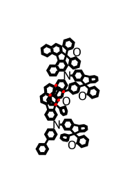 c1ccc(-c2ccc(N(c3ccc4c(c3)C3(c5ccccc5Oc5ccccc53)c3ccccc3-4)c3ccc4c(c3)C3(c5ccccc5Oc5c(-c6ccc7c(c6)Oc6ccccc6C76c7ccccc7-c7ccc(N(c8ccc(-c9ccccc9)cc8)c8cc9c(c%10ccccc8%10)-c8c(ccc%10ccccc8%10)C98c9ccccc9Oc9ccccc98)cc76)cccc53)c3c-4ccc4ccccc34)cc2)cc1